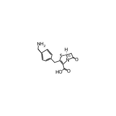 NCc1ccc(CC2=C(C(=O)O)N3C(=O)C[C@@H]3S2)cc1